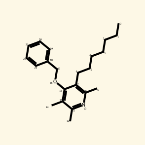 CCCCCCCc1c(C)nc(C)c(I)c1OCc1ccccc1